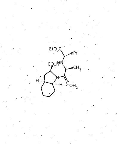 CCC[C@H](N[C@@H](C)C(=O)N1[C@H](C(=O)O)C[C@@H]2CCCC[C@@H]21)C(=O)OCC.O